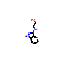 OCCNc1n[nH]c2cccnc12